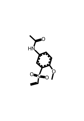 C=CS(=O)(=O)c1cc(NC(C)=O)ccc1OC